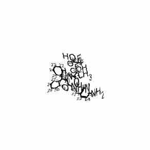 CC(C)(O)C(=O)N[C@@H](C(=O)NCc1ccc(N)nc1)C(C1CCCCC1)C1CCCCC1.O=C(O)C(F)(F)F